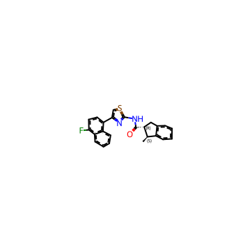 C[C@@H]1c2ccccc2C[C@H]1C(=O)Nc1nc(-c2ccc(F)c3ccccc23)cs1